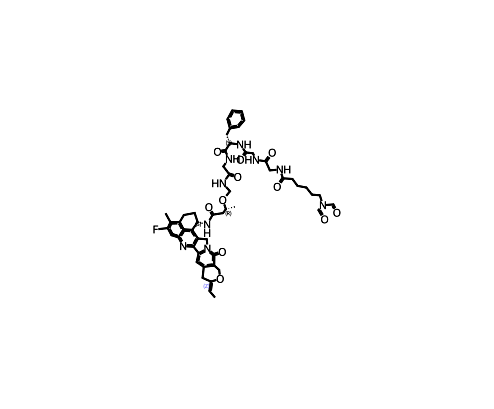 C/C=C1/Cc2cc3n(c(=O)c2CO1)Cc1c-3nc2cc(F)c(C)c3c2c1[C@@H](NC(=O)C[C@@H](C)OCNC(=O)CNC(=O)[C@H](Cc1ccccc1)NC(=O)CNC(=O)CNC(=O)CCCCCN(C=O)C=O)CC3